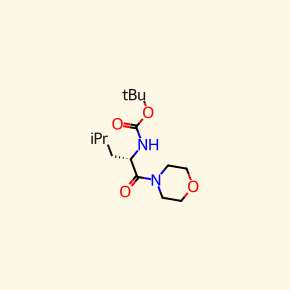 CC(C)C[C@H](NC(=O)OC(C)(C)C)C(=O)N1CCOCC1